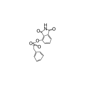 O=C1NC(=O)c2c(OS(=O)(=O)Cc3ccccc3)cccc21